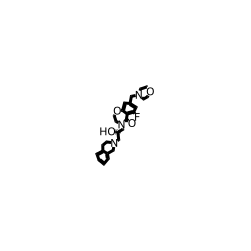 O=C1c2c(F)cc(CN3CCOCC3)cc2OCCN1C[C@H](O)CN1CCc2ccccc2C1